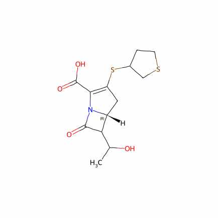 CC(O)C1C(=O)N2C(C(=O)O)=C(SC3CCSC3)C[C@H]12